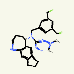 CN(C)/N=C(\N=N)N(Cc1cc(CF)cc(CF)c1)[C@H]1CCCNc2cc3c(cc21)CCC3